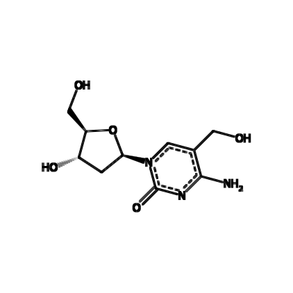 Nc1nc(=O)n([C@H]2C[C@H](O)[C@@H](CO)O2)cc1CO